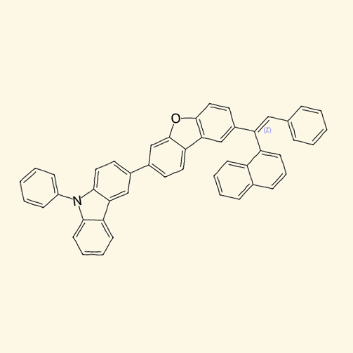 C(=C(\c1ccc2oc3cc(-c4ccc5c(c4)c4ccccc4n5-c4ccccc4)ccc3c2c1)c1cccc2ccccc12)/c1ccccc1